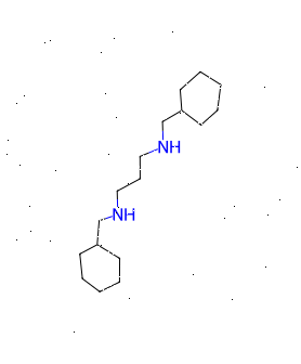 C1CCC(CNCCCNCC2CCCCC2)CC1